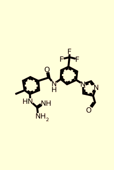 Cc1ccc(C(=O)Nc2cc(-n3cnc(C=O)c3)cc(C(F)(F)F)c2)cc1NC(=N)N